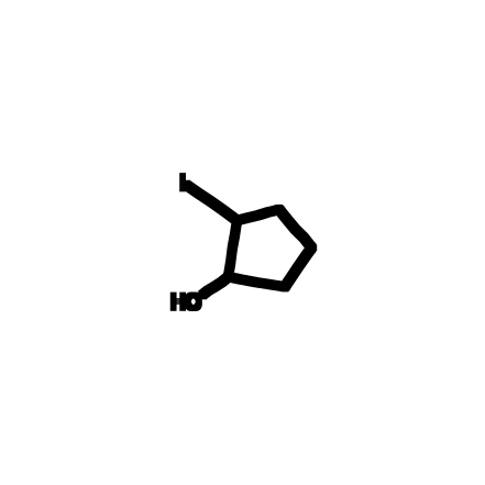 OC1CCCC1I